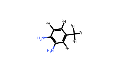 [2H]c1c([2H])c(C([2H])([2H])[2H])c([2H])c(N)c1N